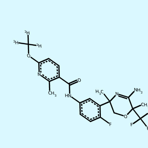 [2H]C([2H])([2H])Oc1ccc(C(=O)Nc2ccc(F)c(C3(C)COC(C)(C(F)(F)F)C(N)=N3)c2)c(C)n1